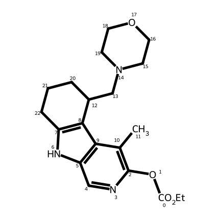 CCOC(=O)Oc1ncc2[nH]c3c(c2c1C)C(CN1CCOCC1)CCC3